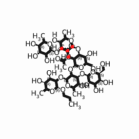 CCCO[C@@H]1OC(C)[C@H](O)[C@H](O)C1O[C@@H]1OC(C)[C@H](O)[C@H](O[C@H]2O[C@@H](CO)[C@@H](O)C(O)C2O)C1O[C@@H]1OC(CO)[C@@H](O)[C@H](O[C@@H]2OC(C)[C@H](O)[C@H](O[C@@H]3OC(C)[C@H](O)[C@H](O)C3O)C2OC(C)=O)C1NC(C)=O